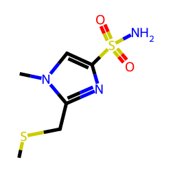 CSCc1nc(S(N)(=O)=O)cn1C